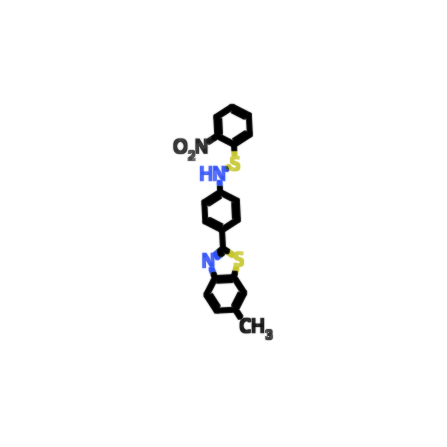 Cc1ccc2nc(-c3ccc(NSc4ccccc4[N+](=O)[O-])cc3)sc2c1